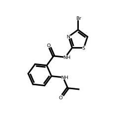 CC(=O)Nc1ccccc1C(=O)Nc1nc(Br)cs1